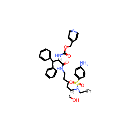 CC(C)CN([C@H](CO)CCCCNC(=O)[C@@H](NC(=O)OCc1ccncc1)C(c1ccccc1)c1ccccc1)S(=O)(=O)c1ccc(N)cc1